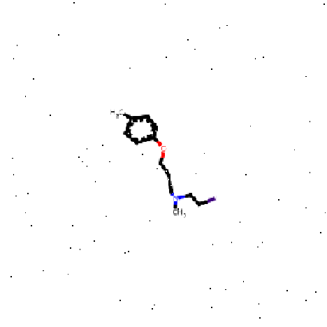 Cc1ccc(OCCCN(C)CCI)cc1